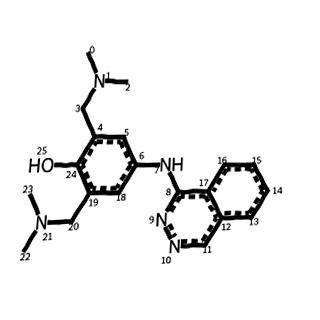 CN(C)Cc1cc(Nc2nncc3ccccc23)cc(CN(C)C)c1O